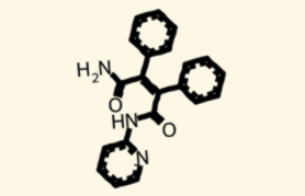 NC(=O)C(=C(C(=O)Nc1ccccn1)c1ccccc1)c1ccccc1